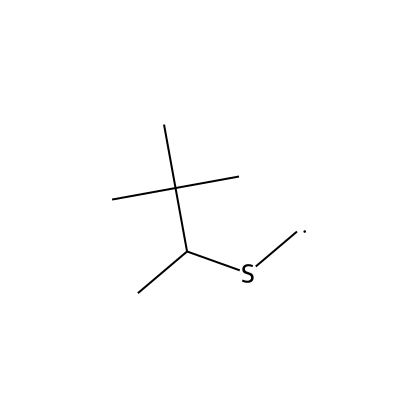 [CH2]SC(C)C(C)(C)C